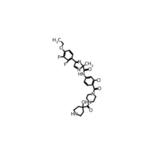 CCOc1ccc(C2=NC(C)(C(=O)Nc3ccc(C(=O)N4CCN(C(=O)C5(O)CCNCC5)CC4)c(Cl)c3)N=C2)c(F)c1F